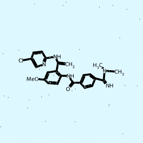 C=C(Nc1ccc(Cl)cn1)c1cc(OC)ccc1NC(=O)c1ccc(C(=N)N(C)C)cc1